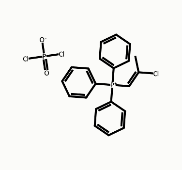 C/C(Cl)=C\[P+](c1ccccc1)(c1ccccc1)c1ccccc1.O=P([O-])(Cl)Cl